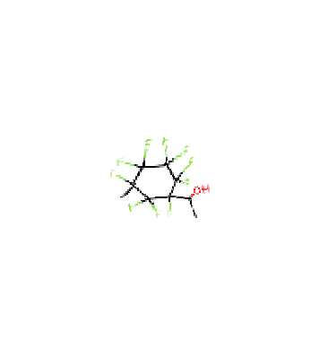 CC(O)C1(F)C(F)(F)C(C)(F)C(F)(F)C(F)(F)C1(F)F